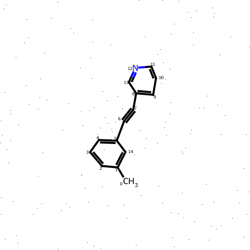 Cc1cccc(C#Cc2cccnc2)c1